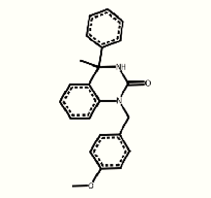 COc1ccc(CN2C(=O)NC(C)(c3ccccc3)c3ccccc32)cc1